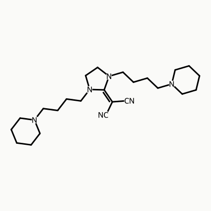 N#CC(C#N)=C1N(CCCCN2CCCCC2)CCN1CCCCN1CCCCC1